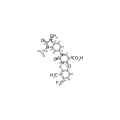 Cc1c(Cn2c(=O)c(C(=O)O)cn(-c3ccc4c(c3)n(C3CC3)c(=O)n4C)c2=O)cccc1C(F)(F)F